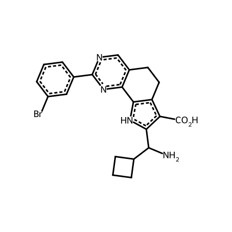 NC(c1[nH]c2c(c1C(=O)O)CCc1cnc(-c3cccc(Br)c3)nc1-2)C1CCC1